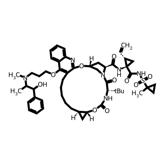 C=C[C@@H]1C[C@]1(NC(=O)[C@@H]1C[C@@H]2CN1C(=O)[C@H](C(C)(C)C)NC(=O)O[C@@H]1C[C@H]1CCCCCc1c(nc3ccccc3c1OCCCN(C)C(C)C(O)c1ccccc1)O2)C(=O)NS(=O)(=O)C1(C)CC1